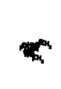 COC1CN(c2ncc(C(=O)Nc3c(-c4ccccc4F)ccnc3N3CCC(C)(I)C3)cn2)C1